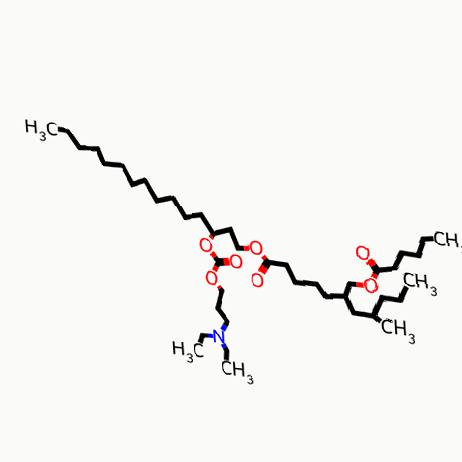 CCCCCCCCCCCCC(CCOC(=O)CCCCC(COC(=O)CCCCC)CC(C)CCC)OC(=O)OCCCN(CC)CC